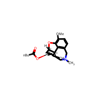 CCCCC(=O)O[C@H]1CCC(C)[C@@]23CCN(C)Cc4ccc(OC)c(c42)O[C@H]3C1